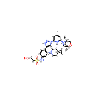 Cc1cc(N2C[C@@H]3C[C@H]2CO3)nc(-n2cc(-c3ccc(NS(=O)(=O)CCO)cc3N3CCC4(CC3)CC4)nn2)c1